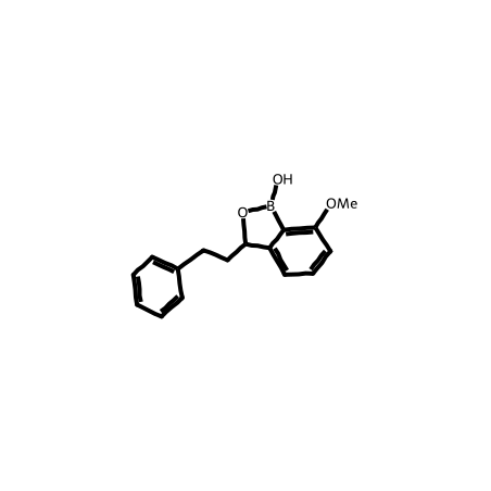 COc1cccc2c1B(O)OC2CCc1ccccc1